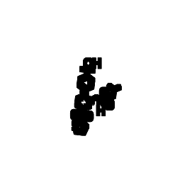 CC(C)CS(=O)(=O)NC[C@H]1CN(S(=O)(=O)c2cccs2)CCN1c1ccc(C(C)(C)O)cc1